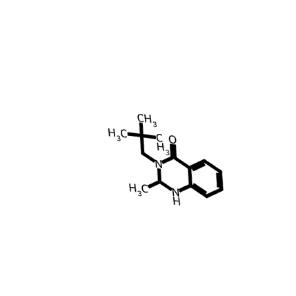 CC1Nc2ccccc2C(=O)N1CC(C)(C)C